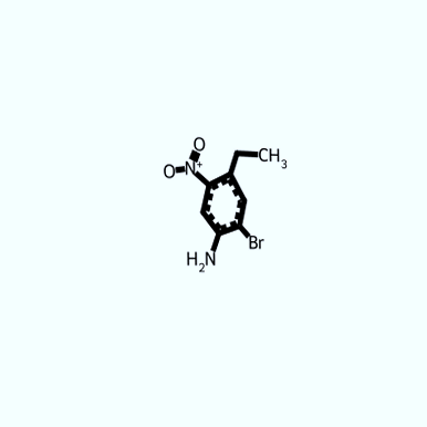 CCc1cc(Br)c(N)cc1[N+](=O)[O-]